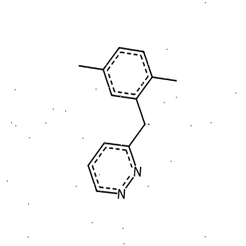 Cc1ccc(C)c([CH]c2cccnn2)c1